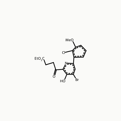 CCOC(=O)CCC(=O)c1nc(-c2cccc(OC)c2Cl)cc(Br)c1O